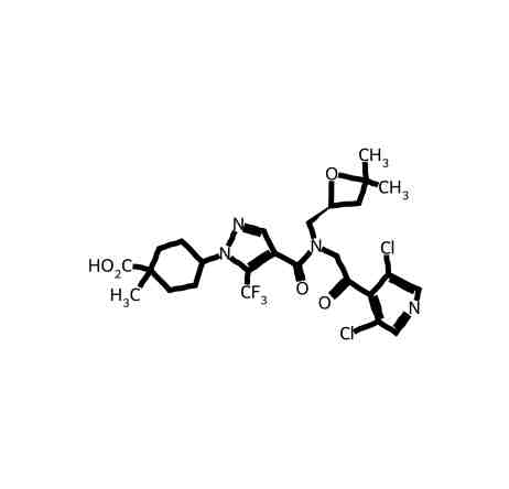 CC1(C)C[C@@H](CN(CC(=O)c2c(Cl)cncc2Cl)C(=O)c2cnn(C3CCC(C)(C(=O)O)CC3)c2C(F)(F)F)O1